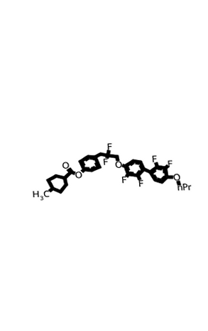 CCCOc1ccc(-c2ccc(OCC(F)(F)Cc3ccc(OC(=O)C4CCC(C)CC4)cc3)c(F)c2F)c(F)c1F